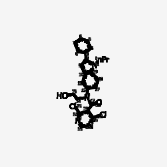 CCCn1c(-c2ccccc2)cc2cc(N(CCO)C(=O)c3c(Cl)ncnc3Cl)ccc21